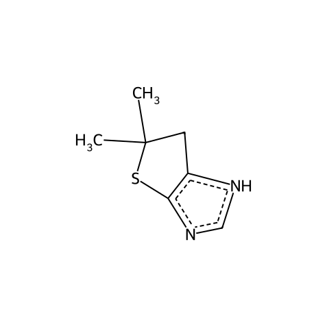 CC1(C)Cc2[nH]cnc2S1